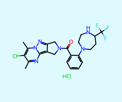 Cc1nc2c3c(nn2c(C)c1Cl)CN(C(=O)c1ccccc1N1CCNC(C(F)(F)F)CC1)C3.Cl